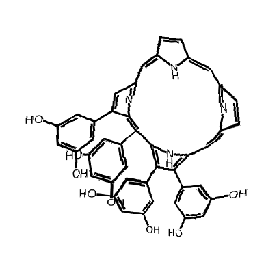 Oc1cc(O)cc(C2=Cc3cc4ccc(cc5nc(cc6[nH]c(c(-c7cc(O)cc(O)c7)c2n3)c(-c2cc(O)cc(O)c2)c6-c2cc(O)cc(O)c2)C=C5)[nH]4)c1